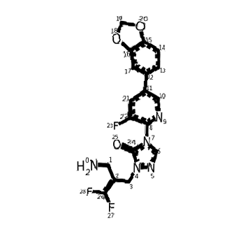 NCC(Cn1ncn(-c2ncc(-c3ccc4c(c3)OCO4)cc2F)c1=O)=C(F)F